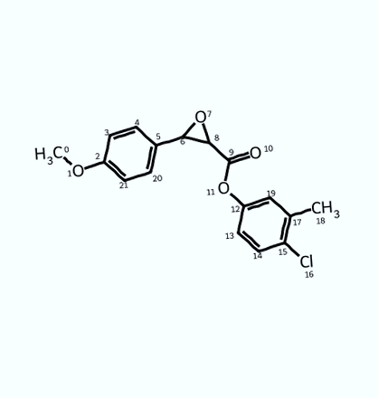 COc1ccc(C2OC2C(=O)Oc2ccc(Cl)c(C)c2)cc1